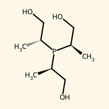 C[C@H](CO)P([C@H](C)CO)[C@H](C)CO